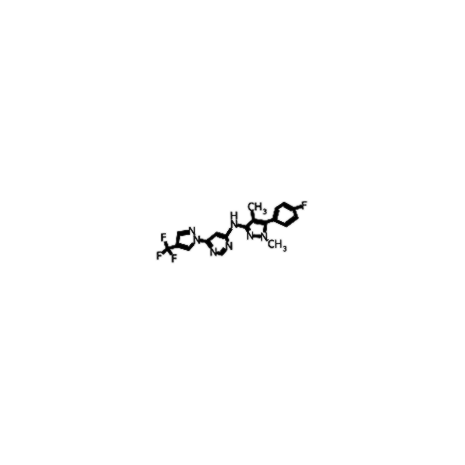 Cc1c(Nc2cc(-n3cc(C(F)(F)F)cn3)ncn2)nn(C)c1-c1ccc(F)cc1